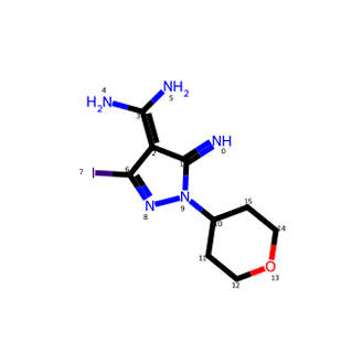 N=C1C(=C(N)N)C(I)=NN1C1CCOCC1